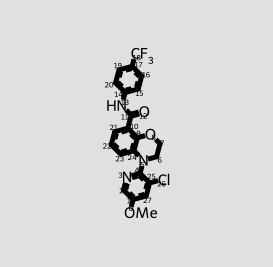 COc1cnc(N2CCOc3c(C(=O)Nc4ccc(C(F)(F)F)cc4)cccc32)c(Cl)c1